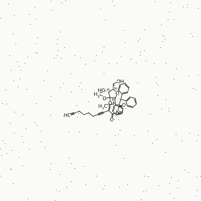 C#CCCCCC#Cc1cn([C@]2(C(c3ccccc3)(c3ccccc3)c3ccccc3)O[C@H](CO)[C@@H](O)C2(OC)OC)c(=O)[nH]c1=O